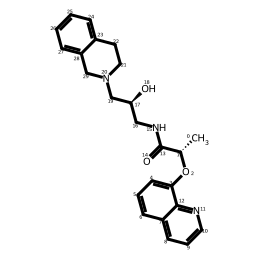 C[C@H](Oc1cccc2cccnc12)C(=O)NC[C@H](O)CN1CCc2ccccc2C1